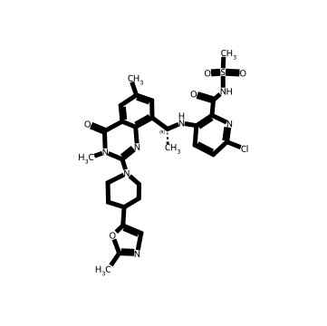 Cc1cc([C@@H](C)Nc2ccc(Cl)nc2C(=O)NS(C)(=O)=O)c2nc(N3CCC(c4cnc(C)o4)CC3)n(C)c(=O)c2c1